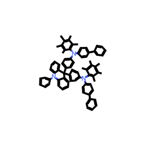 Cc1c(C)c(C)c(N(c2ccc(-c3ccccc3)cc2)c2ccc(C3(c4ccc(N(c5ccc(-c6ccccc6)cc5)c5c(C)c(C)c(C)c(C)c5C)cc4)c4ccccc4N(c4ccccc4)c4ccccc43)cc2)c(C)c1C